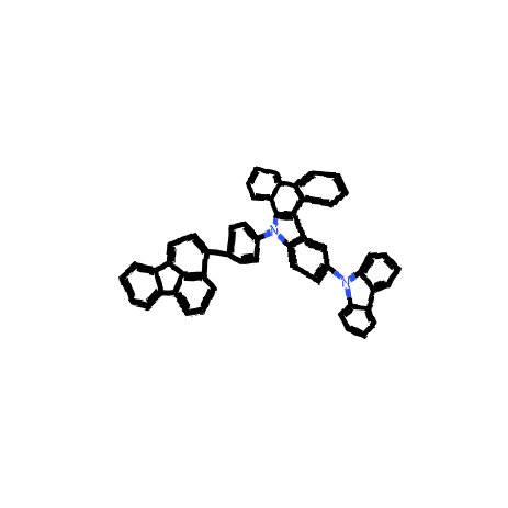 c1ccc2c(c1)-c1cccc3c(-c4ccc(-n5c6ccc(-n7c8ccccc8c8ccccc87)cc6c6c7ccccc7c7ccccc7c65)cc4)ccc-2c13